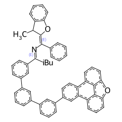 CCC(C)/C(=N\C(=C1\Oc2ccccc2C1C)c1ccccc1)c1cccc(-c2cccc(-c3cccc(-c4ccc5c(c4)c4cccc6oc7cccc5c7c64)c3)c2)c1